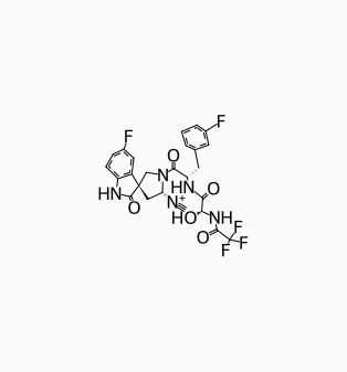 C#[N+][C@@H]1C[C@@]2(CN1C(=O)[C@H](Cc1cccc(F)c1)NC(=O)[C@H](O)NC(=O)C(F)(F)F)C(=O)Nc1ccc(F)cc12